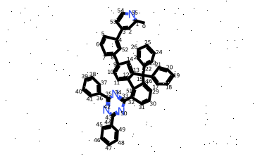 Cc1cc(-c2cccc(-c3ccc4c(c3)C(c3ccccc3)(c3ccccc3)c3cccc(-c5nc(-c6ccccc6)nc(-c6ccccc6)n5)c3-4)c2)ccn1